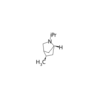 CC(C)N1CC2C[C@H]1C[C@H]2C